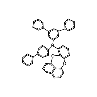 c1ccc(-c2ccc(N(c3cc(-c4ccccc4)cc(-c4ccccc4)c3)c3cccc4c3Oc3cccc5cccc(c35)O4)cc2)cc1